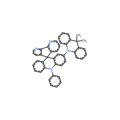 CC1(C)c2ccccc2N(c2ccc3c(c2)C2(c4ccccc4N3c3ccccc3)c3cccnc3-c3ncccc32)c2ccccc21